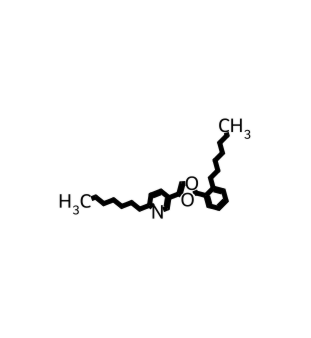 CCCCCCCc1ccc(C2=COC(c3ccccc3CCCCCCC)O2)cn1